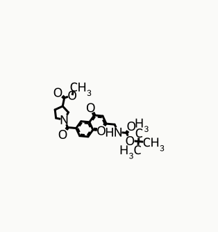 COC(=O)C1CCN(C(=O)c2ccc3oc(CNC(=O)OC(C)(C)C)cc(=O)c3c2)C1